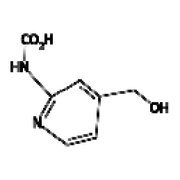 O=C(O)Nc1cc(CO)ccn1